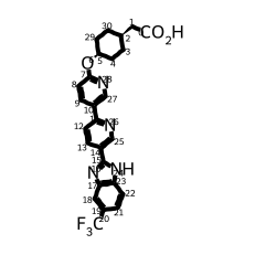 O=C(O)C[C@H]1CC[C@H](Oc2ccc(-c3ccc(-c4nc5cc(C(F)(F)F)ccc5[nH]4)cn3)cn2)CC1